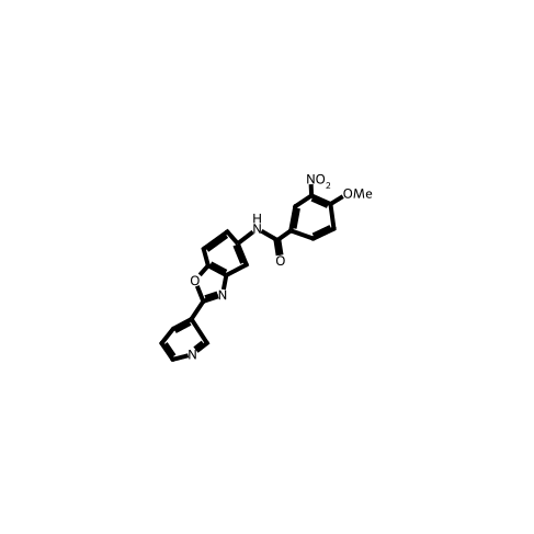 COc1ccc(C(=O)Nc2ccc3oc(-c4cccnc4)nc3c2)cc1[N+](=O)[O-]